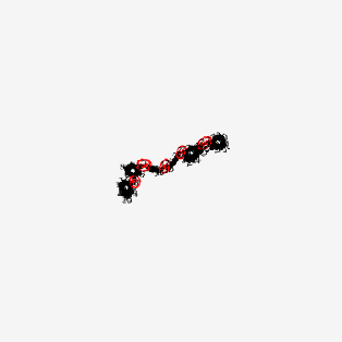 C(#COc1cccc(Oc2ccccc2)c1)COCC#COc1cccc(Oc2ccccc2)c1